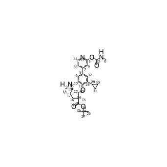 CNC(=O)Oc1cc(-c2ccc(OC[C@](C)(C[C@H](C)CN)C(=O)OC(C)(C)C)c(C3CC3)c2)ccn1